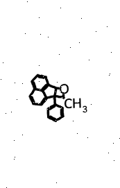 CC1OC2c3cccc4cccc(c34)C12c1ccccc1